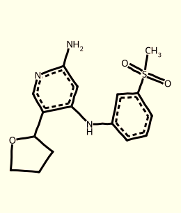 CS(=O)(=O)c1cccc(Nc2cc(N)ncc2C2CCCO2)c1